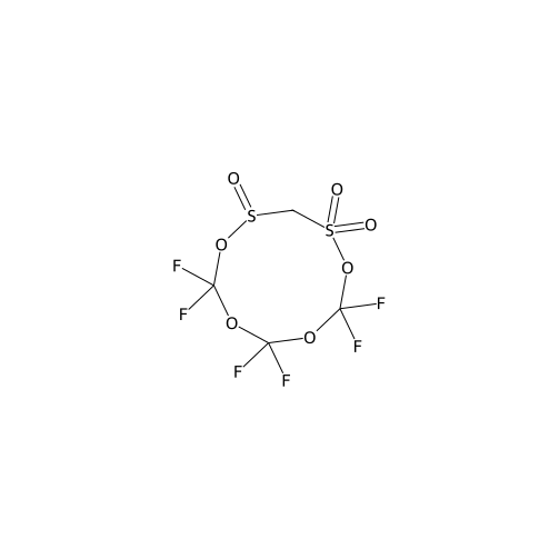 O=S1CS(=O)(=O)OC(F)(F)OC(F)(F)OC(F)(F)O1